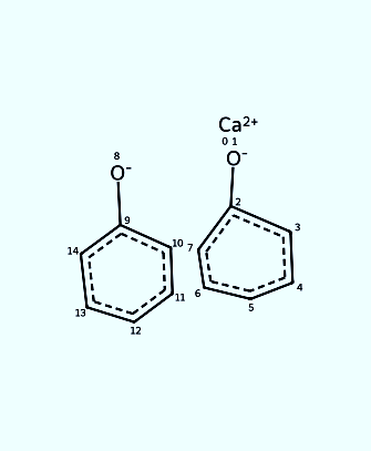 [Ca+2].[O-]c1ccccc1.[O-]c1ccccc1